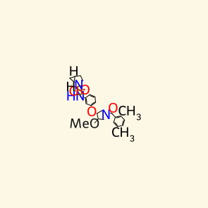 COC1CN(C(=O)c2cc(C)ccc2C)CC1Oc1cccc(NS(=O)(=O)N2CC[C@H]3C[C@@H]32)c1